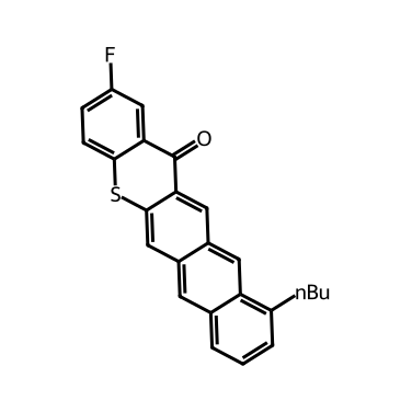 CCCCc1cccc2cc3cc4sc5ccc(F)cc5c(=O)c4cc3cc12